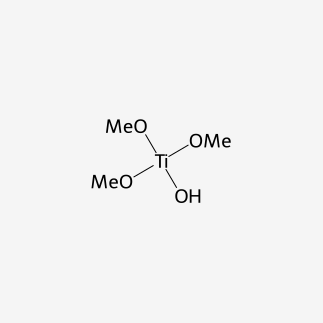 C[O][Ti]([OH])([O]C)[O]C